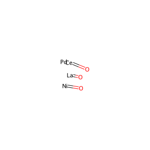 [O]=[Ce].[O]=[La].[O]=[Ni].[Pd]